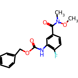 CON(C)C(=O)c1ccc(F)c(NC(=O)OCc2ccccc2)c1